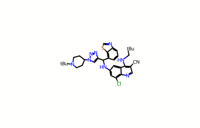 CC(C)(C)CNc1c(C#N)cnc2c(Cl)cc(NC(c3cn(C4CCN(C(C)(C)C)CC4)nn3)c3cccc4ncsc34)cc12